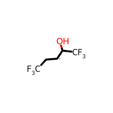 OC([CH]CC(F)(F)F)C(F)(F)F